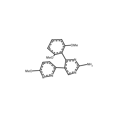 COc1ccc(-c2cnc(N)nc2-c2c(OC)cccc2OC)nn1